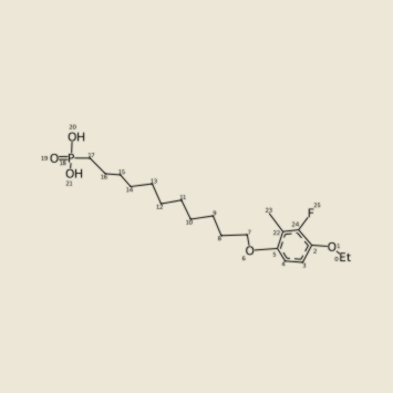 CCOc1ccc(OCCCCCCCCCCCP(=O)(O)O)c(C)c1F